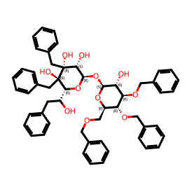 OC(Cc1ccccc1)[C@H]1O[C@H](O[C@@H]2O[C@H](COCc3ccccc3)[C@@H](OCc3ccccc3)[C@H](OCc3ccccc3)[C@H]2O)[C@@H](O)[C@](O)(Cc2ccccc2)[C@@]1(O)Cc1ccccc1